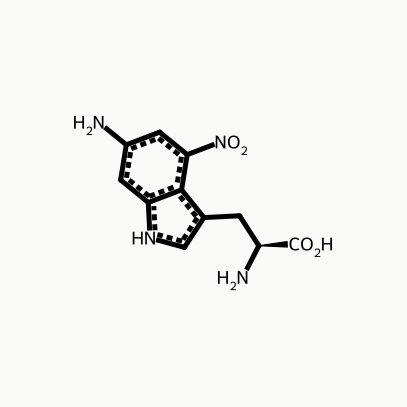 Nc1cc([N+](=O)[O-])c2c(C[C@H](N)C(=O)O)c[nH]c2c1